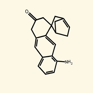 Nc1cccc2cc3c(cc12)C1(CC(=O)C3)CC2=CCC1C2